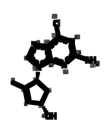 CC1=C[C@@H](O)C[C@H]1n1cnc2c(Cl)nc(N)nc21